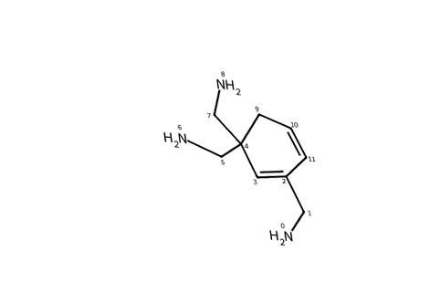 NCC1=CC(CN)(CN)CC=C1